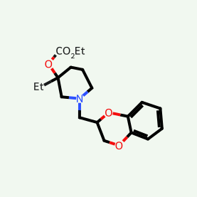 CCOC(=O)OC1(CC)CCCN(CC2COc3ccccc3O2)C1